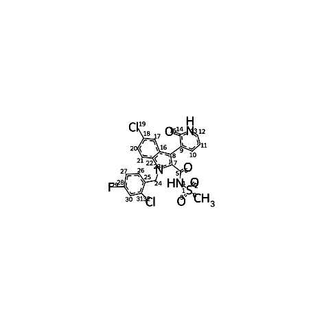 CS(=O)(=O)NC(=O)c1c(-c2ccc[nH]c2=O)c2cc(Cl)ccc2n1Cc1ccc(F)cc1Cl